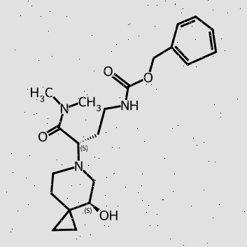 CN(C)C(=O)[C@H](CCNC(=O)OCc1ccccc1)N1CCC2(CC2)[C@H](O)C1